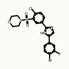 O=S(=O)(c1cc(-c2ncc(-c3ccc(Br)c(F)c3)[nH]2)ccc1Cl)N1CCOCC1